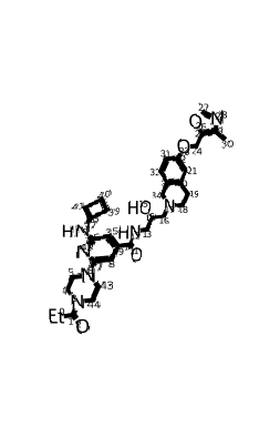 CCC(=O)N1CCN(c2cc(C(=O)NC[C@H](O)CN3CCc4cc(OCc5ocnc5C)ccc4C3)cc(NC3CCC3)n2)CC1